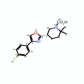 CC1(C)CC[C@H](c2nc(-c3ccc(F)cc3)co2)CN1C(=O)O